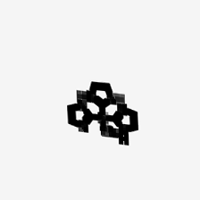 CC(C)(C)[Si](c1ncc[nH]1)(c1ncc[nH]1)c1ncc[nH]1